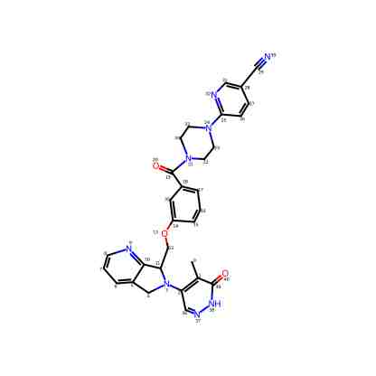 Cc1c(N2Cc3cccnc3C2COc2cccc(C(=O)N3CCN(c4ccc(C#N)cn4)CC3)c2)cn[nH]c1=O